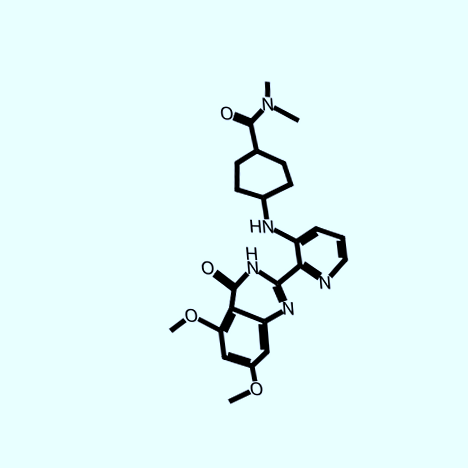 COc1cc(OC)c2c(=O)[nH]c(-c3ncccc3NC3CCC(C(=O)N(C)C)CC3)nc2c1